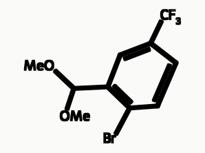 COC(OC)c1cc(C(F)(F)F)ccc1Br